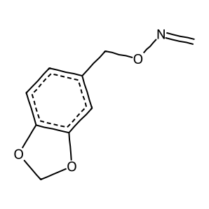 C=NOCc1ccc2c(c1)OCO2